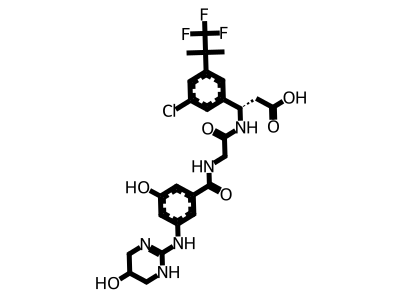 CC(C)(c1cc(Cl)cc([C@H](CC(=O)O)NC(=O)CNC(=O)c2cc(O)cc(NC3=NCC(O)CN3)c2)c1)C(F)(F)F